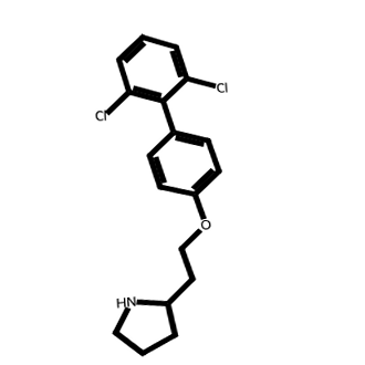 Clc1c[c]cc(Cl)c1-c1ccc(OCCC2CCCN2)cc1